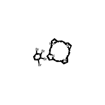 Brc1ccc(Br)c(Br)c1Br.C1=Cc2cc3ccc(cc4nc(cc5ccc(cc1n2)[nH]5)C=C4)[nH]3